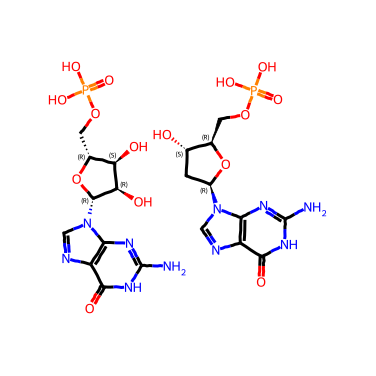 Nc1nc2c(ncn2[C@@H]2O[C@H](COP(=O)(O)O)[C@@H](O)[C@H]2O)c(=O)[nH]1.Nc1nc2c(ncn2[C@H]2C[C@H](O)[C@@H](COP(=O)(O)O)O2)c(=O)[nH]1